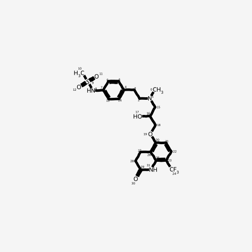 CN(CCc1ccc(NS(C)(=O)=O)cc1)CC(O)COc1ccc(C(F)(F)F)c2c1CCC(=O)N2